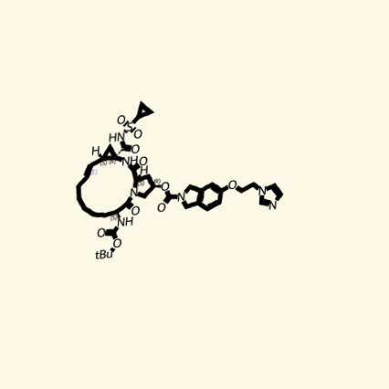 CC(C)(C)OC(=O)N[C@H]1CCCCC/C=C/[C@@H]2C[C@@]2(C(=O)NS(=O)(=O)C2CC2)NC(=O)[C@@H]2C[C@@H](OC(=O)N3Cc4ccc(OCCn5ccnc5)cc4C3)CN2C1=O